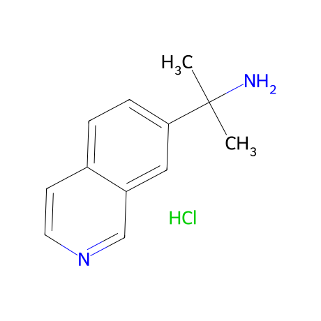 CC(C)(N)c1ccc2ccncc2c1.Cl